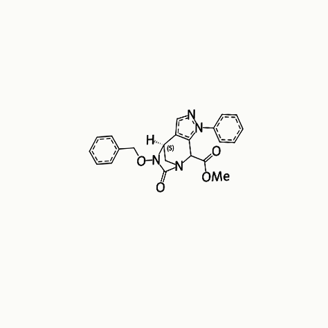 COC(=O)C1c2c(cnn2-c2ccccc2)[C@H]2CN1C(=O)N2OCc1ccccc1